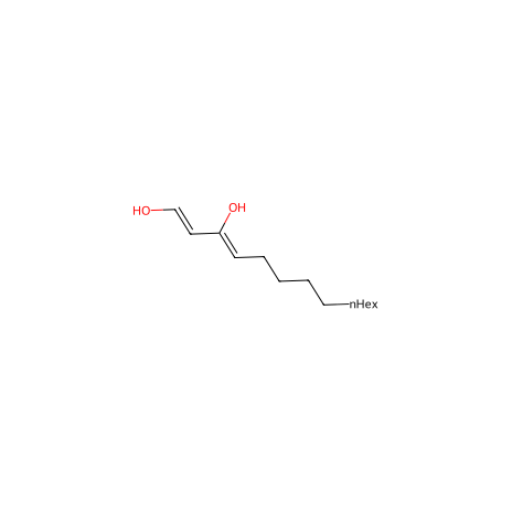 CCCCCCCCCCC=C(O)C=CO